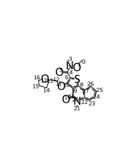 CON(C)C(=O)c1sc2c(c1OCC1CCCO1)c(=O)n(C)c1ccccc21